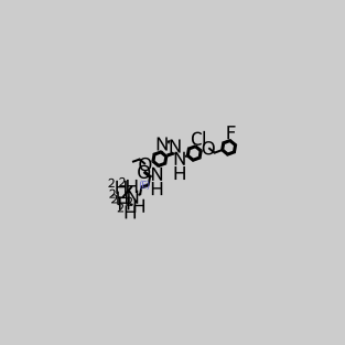 [2H]C([2H])([2H])N(C/C=C/C(=O)Nc1cc2c(Nc3ccc(OCc4cccc(F)c4)c(Cl)c3)ncnc2cc1OCC)C([2H])([2H])[2H]